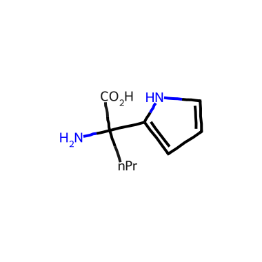 CCCC(N)(C(=O)O)c1ccc[nH]1